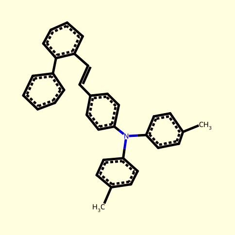 Cc1ccc(N(c2ccc(C)cc2)c2ccc(C=Cc3ccccc3-c3ccccc3)cc2)cc1